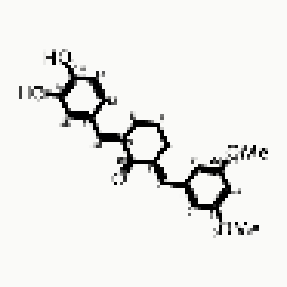 COc1cc(C=C2CCCC(=Cc3ccc(O)c(O)c3)C2=O)cc(OC)c1